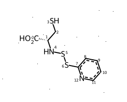 O=C(O)[C@H](CS)NSSc1ccccn1